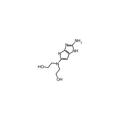 Nc1nc2c([nH]1)C=C(N(CCO)CCO)[N]2